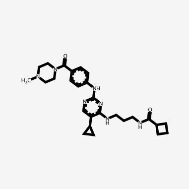 CN1CCN(C(=O)c2ccc(Nc3ncc(C4CC4)c(NCCCNC(=O)C4CCC4)n3)cc2)CC1